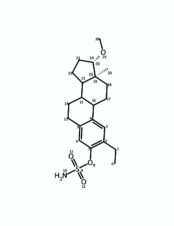 CCc1cc2c(cc1OS(N)(=O)=O)CCC1C2CC[C@@]2(C)C1CC[C@@H]2OC